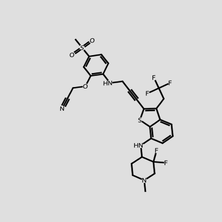 CN1CCC(Nc2cccc3c(CC(F)(F)F)c(C#CCNc4ccc(S(C)(=O)=O)cc4OCC#N)sc23)C(F)(F)C1